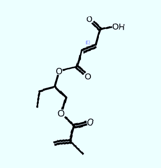 C=C(C)C(=O)OCC(CC)OC(=O)/C=C/C(=O)O